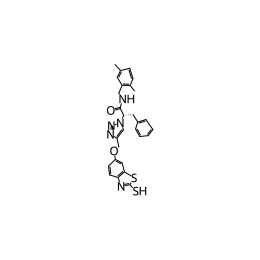 Cc1ccc(C)c(CNC(=O)[C@H](Cc2ccccc2)n2cc(COc3ccc4nc(S)sc4c3)nn2)c1